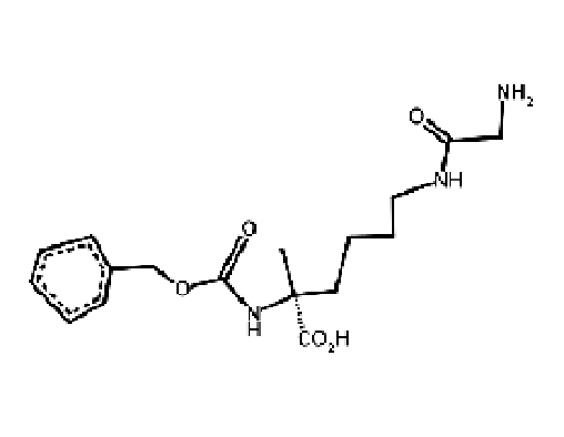 C[C@@](CCCCNC(=O)CN)(NC(=O)OCc1ccccc1)C(=O)O